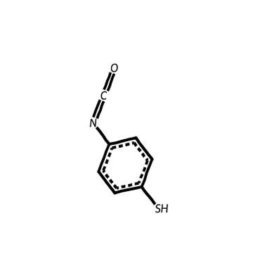 O=C=Nc1ccc(S)cc1